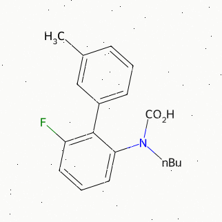 CCCCN(C(=O)O)c1cccc(F)c1-c1cccc(C)c1